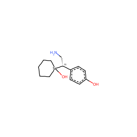 NC[C@H](c1ccc(O)cc1)[Si]1(O)CCCCC1